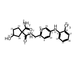 NC(=O)C1(C(=O)NCc2ccc(Nc3ccccc3C(F)(F)F)cn2)CCC(O)C1